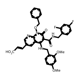 COc1ccc(CNc2c(C(=O)NCc3ccc(F)cc3F)c(=O)n(OCc3ccccc3)c3ncc(C=CC(=O)O)cc23)c(OC)c1